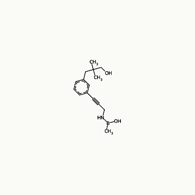 CB(O)NCC#Cc1cccc(CC(C)(C)CO)c1